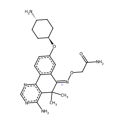 CC1(C)/C(=N/OCC(N)=O)c2cc(O[C@H]3CC[C@H](N)CC3)ccc2-c2ncnc(N)c21